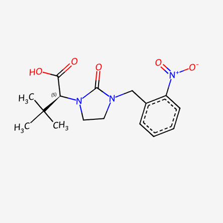 CC(C)(C)[C@@H](C(=O)O)N1CCN(Cc2ccccc2[N+](=O)[O-])C1=O